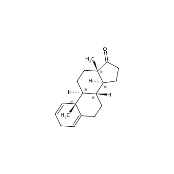 C[C@]12C=CCC=C1CC[C@@H]1[C@@H]2CC[C@]2(C)C(=O)CC[C@@H]12